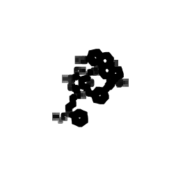 C[C@H](O)[C@@H]1[C@H](CO)ON(Cc2cccc(C#C[C@]3(O)CCC4[C@@H]5CCc6ccc(O)cc6[C@H]5CC[C@@]43C)c2)[C@@H]1C(=O)NCCCN(C)c1ccccc1